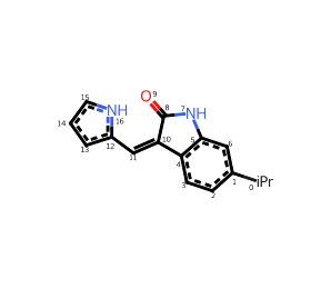 CC(C)c1ccc2c(c1)NC(=O)/C2=C\c1ccc[nH]1